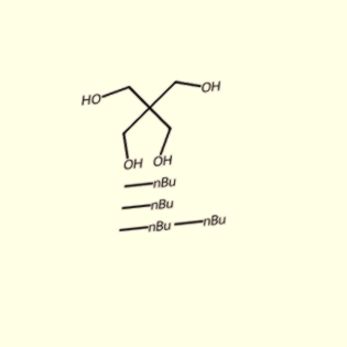 CCCCC.CCCCC.CCCCC.CCCCC.OCC(CO)(CO)CO